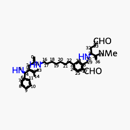 C=C(CC(C(=N)c1ccccc1)=C(C)C)NCCCCCCCc1ccc(C=O)c(CNC(CCC=O)C(=C)NC)c1